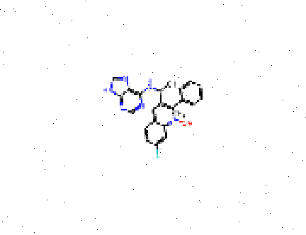 C\C(=C(/C=C1/C=CC(F)=C/C1=N\O)[C@H](C)Nc1ncnc2[nH]cnc12)c1ccccc1